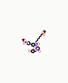 COc1ccc(CN2C(=O)CCC(n3c(=O)n(CCCCCCCC(=O)OC(C)(C)C)c4cc(C5CCN(C(=O)OC(C)(C)C)CC5)ccc43)C2=O)cc1